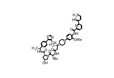 COc1cc(N2CCN([C@H](C)CC(=O)N[C@H](C(=O)N3C[C@H](O)C[C@H]3C(=O)N[C@@H](C)c3ccc(-c4scnc4C)cc3)C(C)(C)C)CC2)ccc1NC(=O)c1cccc(C(=N)/C=C\N)n1